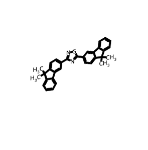 CC1(C)c2ccccc2-c2cc(-c3nsc(-c4ccc5c(c4)-c4ccccc4C5(C)C)n3)ccc21